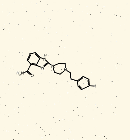 NC(=O)c1cccc2[nH]c(N3CCN(CCc4ccc(I)cc4)CC3)nc12